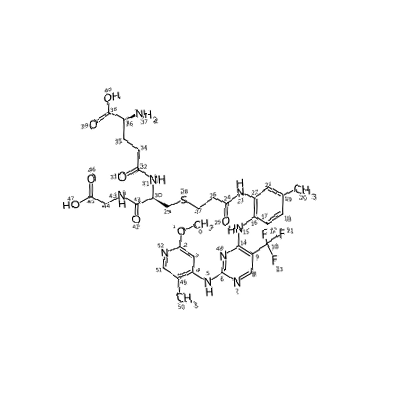 COc1cc(Nc2ncc(C(F)(F)F)c(Nc3ccc(C)cc3NC(=O)CCSC[C@H](NC(=O)CC[C@H](N)C(=O)O)C(=O)NCC(=O)O)n2)c(C)cn1